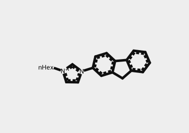 CCCCCC[n+]1ccn(-c2ccc3c(c2)Cc2ccccc2-3)c1